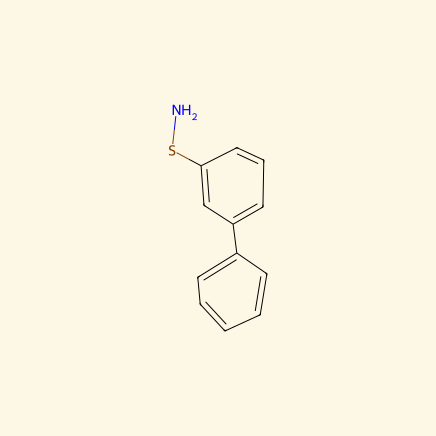 NSc1cccc(-c2ccccc2)c1